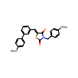 COc1ccc(CN2C(=O)S/C(=C\c3cccc(-c4ccc(OC)cc4)c3)C2=O)cc1